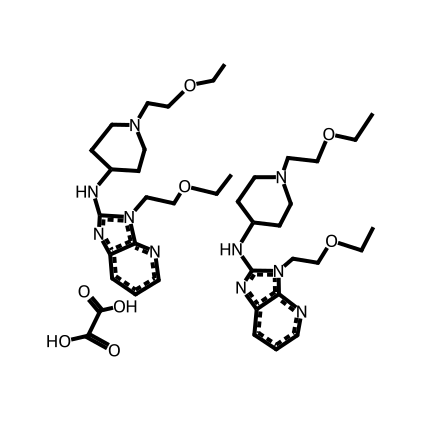 CCOCCN1CCC(Nc2nc3cccnc3n2CCOCC)CC1.CCOCCN1CCC(Nc2nc3cccnc3n2CCOCC)CC1.O=C(O)C(=O)O